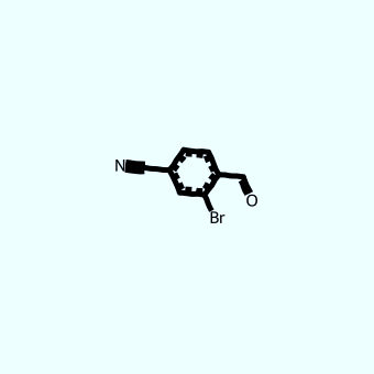 N#Cc1ccc(C=O)c(Br)c1